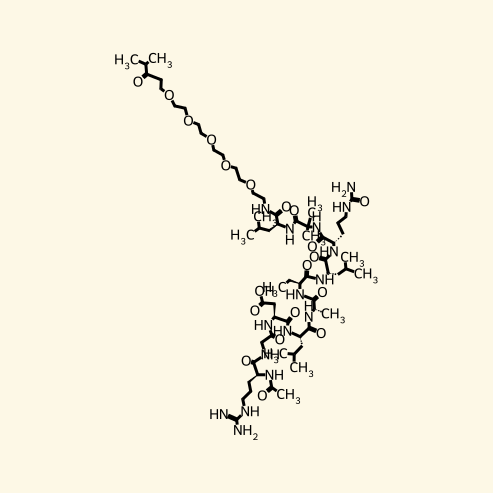 CC[C@H](NC(=O)[C@H](C)NC(=O)[C@H](CC(C)C)NC(=O)[C@H](CC(=O)O)NC(=O)CNC(=O)[C@H](CCCNC(=N)N)NC(C)=O)C(=O)N[C@@H](CC(C)C)C(=O)N[C@@H](CCCNC(N)=O)C(=O)NC(C)(C)C(=O)N[C@@H](CC(C)C)C(=O)NCCOCCOCCOCCOCCOCCC(=O)C(C)C